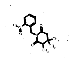 CC1C(=O)N(Cc2ccccc2[N+](=O)[O-])C(=O)CC1(C)C